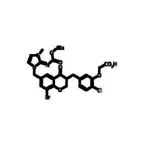 Cn1ccn(Cc2cc(Br)c3c(c2)C(=O)C(Cc2ccc(Cl)c(OCC(=O)O)c2)CO3)c1=NC(=O)OC(C)(C)C